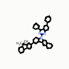 CC1(C)c2ccccc2-c2ccc(-c3ccc4c(c3)c3cc5ccccc5cc3n4-c3nc(-c4ccccc4)c4cc(-c5ccccc5)ccc4n3)cc21